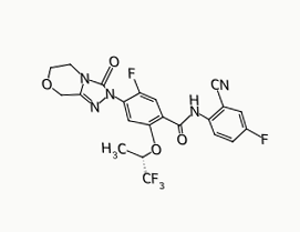 C[C@H](Oc1cc(-n2nc3n(c2=O)CCOC3)c(F)cc1C(=O)Nc1ccc(F)cc1C#N)C(F)(F)F